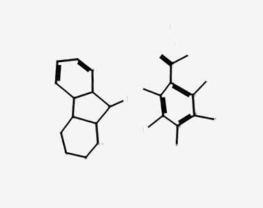 O=C([O-])c1c(F)c(F)c(F)c(F)c1F.[F-].[F-].[Ti+3][CH]1C2C=CC=CC2C2CCCCC12